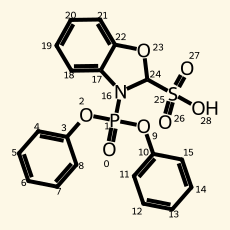 O=P(Oc1ccccc1)(Oc1ccccc1)N1c2ccccc2OC1S(=O)(=O)O